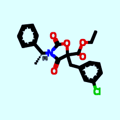 CCOC(=O)C1(Cc2cccc(Cl)c2)OC(=O)N([C@H](C)c2ccccc2)C1=O